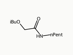 CCCCCNC(=O)COCC(C)C